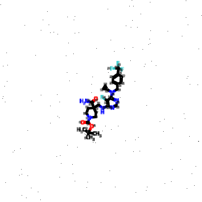 CC(C)(C)OC(=O)N1CCC(CNc2ncnc(N(Cc3ccc(C(F)(F)F)cc3)C3CC3)c2F)(C(N)=O)CC1